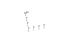 [I-].[I-].[I-].[I-].[I-].[I-].[U+6]